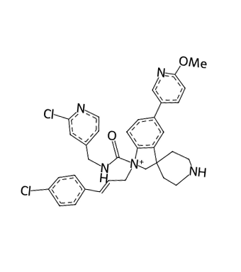 COc1ccc(-c2ccc3c(c2)C2(CCNCC2)C[N+]3(C/C=C/c2ccc(Cl)cc2)C(=O)NCc2ccnc(Cl)c2)cn1